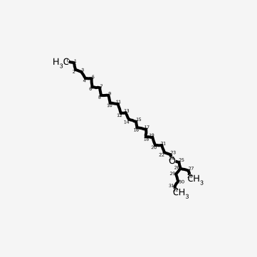 CCCCCCCCCCCCCCCCCCCCCCCCOCC(CC)CCCC